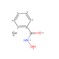 O=C(NO)c1ccccc1.[Cu]